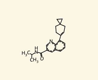 CC(C)NC(=O)c1cnc2c(C3=CCC4(CC3)CC4)cccc2c1